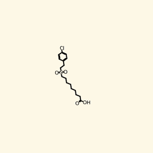 O=C(O)CCCCCCCCS(=O)(=O)CCc1ccc(Cl)cc1